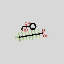 CCC(O)(O)c1ccccc1.O=C(O)C(F)(F)C(F)(F)C(F)(F)C(F)(F)C(F)(F)C(F)(F)C(F)(F)F